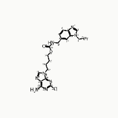 CC(C)Cn1cnc2ccc(CNC(=O)OCCCCn3cnc4c(N)nc(Cl)nc43)cc21